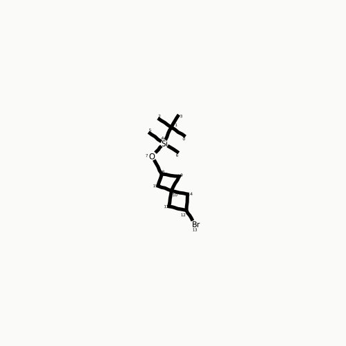 CC(C)(C)[Si](C)(C)OC1CC2(CC(Br)C2)C1